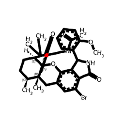 COc1ccccc1C1NC(=O)c2c(Br)cc3c(c21)O[C@@]12CC(NC(C)=O)C(=O)C(C)(C)[C@@H]1CC[C@H](C)[C@@]2(C)C3